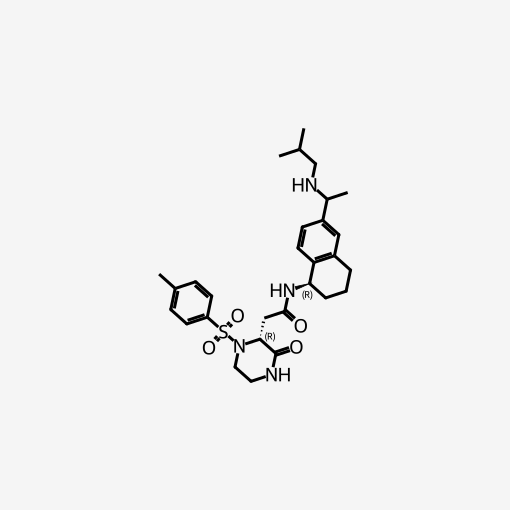 Cc1ccc(S(=O)(=O)N2CCNC(=O)[C@H]2CC(=O)N[C@@H]2CCCc3cc(C(C)NCC(C)C)ccc32)cc1